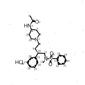 CC(=O)NC1CCN(CC[C@@H](CN(C)S(=O)(=O)c2ccccc2)c2ccccc2)CC1.Cl